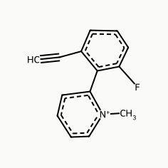 C#Cc1cccc(F)c1-c1cccc[n+]1C